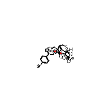 COC1(CCl)N[C@]2(OC)C(=O)N3C(C(=O)OCC(=O)c4ccc(Br)cc4)=C1CS[C@H]32